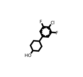 OC1CCC(c2cc(F)c(Cl)c(F)c2)CC1